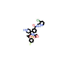 O=C(NCc1ncccc1Cl)c1ccc2c(c1)C1(CCNCC1)C(C1CC1)[N+]2(C1COC1)S(=O)(=O)c1ccc(F)cc1